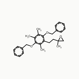 Cc1c(C)c(OCc2ccccc2)c(CCC2(C)CO2)c(C)c1OCc1ccccc1